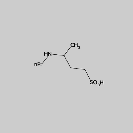 CCCNC(C)CCS(=O)(=O)O